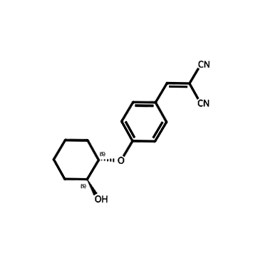 N#CC(C#N)=Cc1ccc(O[C@H]2CCCC[C@@H]2O)cc1